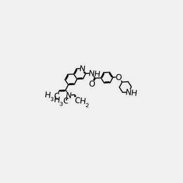 C=CN(C)/C(=C\C)c1ccc2cnc(NC(=O)c3ccc(OC4CCNCC4)cc3)cc2c1